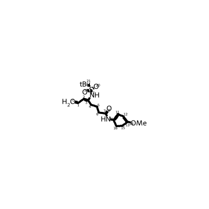 C=C/C=C(\CCCC(=O)NC1=CC=C(OC)CC1)NS(=O)(=O)C(C)(C)C